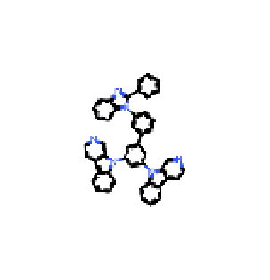 c1ccc(-c2nc3ccccc3n2-c2cccc(-c3cc(-n4c5ccccc5c5ccncc54)cc(-n4c5ccccc5c5ccncc54)c3)c2)cc1